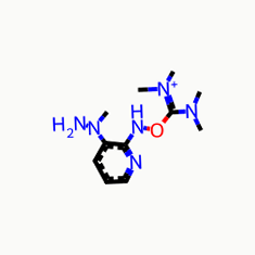 CN(C)C(ONc1ncccc1N(C)N)=[N+](C)C